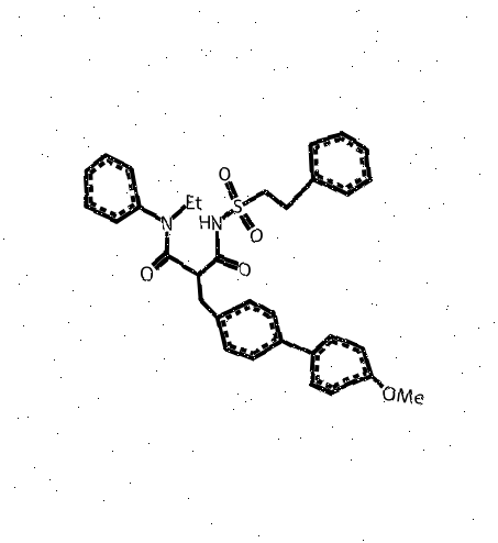 CCN(C(=O)C(Cc1ccc(-c2ccc(OC)cc2)cc1)C(=O)NS(=O)(=O)CCc1ccccc1)c1ccccc1